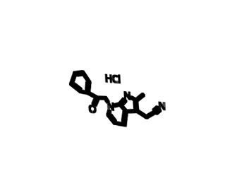 Cc1nc2n(CC(=O)c3ccccc3)cccc-2c1CC#N.Cl